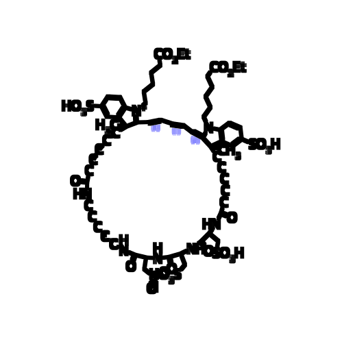 CCOC(=O)CCCCCN1\C2=C/C=C/C=C/C3=[N+](CCCCCC(=O)OCC)c4ccc(S(=O)(=O)O)cc4C3(C)CCCCCC(=O)NCCCCCNC(=O)C(C[SH](=O)=O)NC(=O)C(CS(=O)(=O)O)NC(=O)C(CS(=O)(=O)O)NC(=O)CCCCCC2(C)c2cc(S(=O)(=O)O)ccc21